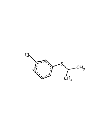 CC(C)Sc1ccnc(Cl)c1